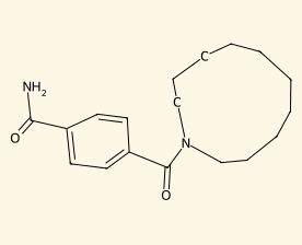 NC(=O)c1ccc(C(=O)N2CCCCCCCCCC2)cc1